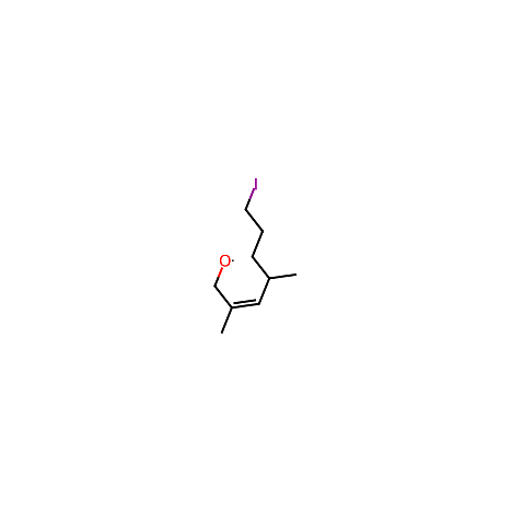 CC(=CC(C)CCCI)C[O]